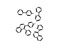 c1ccc(-c2ccc(-n3c4ccccc4c4ccc(N(c5ccc(-c6ccc7ccccc7c6-c6ccccc6)cc5)c5cccc6c5oc5ccc7ccccc7c56)cc43)cc2)cc1